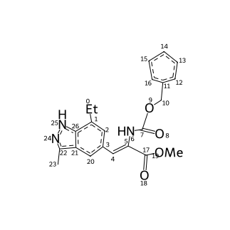 CCc1cc(/C=C(\NC(=O)OCc2ccccc2)C(=O)OC)cc2c(C)n[nH]c12